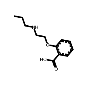 CCCNCCOc1ccccc1C(=O)O